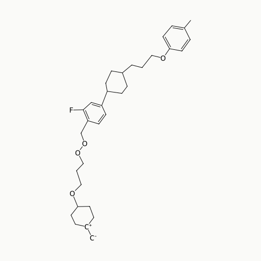 [CH2-][C+]1CCC(OCCCOOCc2ccc(C3CCC(CCCOc4ccc(C)cc4)CC3)cc2F)CC1